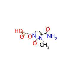 CCN1C(=O)N(OCS(=O)O)CC[C@H]1C(N)=O